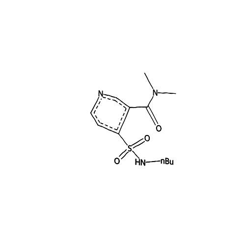 CCCCNS(=O)(=O)c1ccncc1C(=O)N(C)C